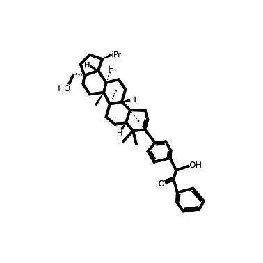 CC(C)[C@@H]1CC[C@]2(CO)CC[C@]3(C)[C@H](CC[C@@H]4[C@@]5(C)CC=C(c6ccc(C(O)C(=O)c7ccccc7)cc6)C(C)(C)[C@@H]5CC[C@]43C)[C@@H]12